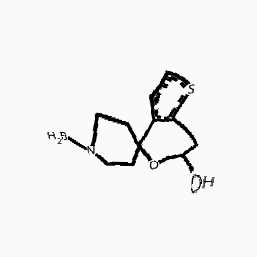 BN1CCC2(CC1)OC(O)Cc1sccc12